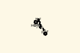 COc1ccc2ncc(F)c(CCCC3(C(=O)O)CCN(CCOc4c(F)cccc4F)C3)c2c1